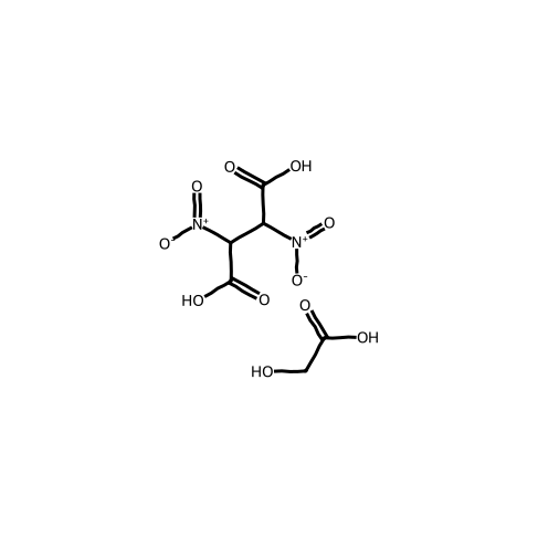 O=C(O)C(C(C(=O)O)[N+](=O)[O-])[N+](=O)[O-].O=C(O)CO